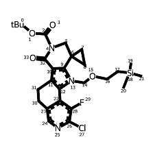 CC(C)(C)OC(=O)N1CC2(CC2)c2c(c3c(n2COCC[Si](C)(C)C)-c2c(cnc(Cl)c2F)CC3)C1=O